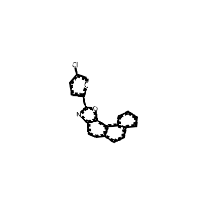 Clc1ccc(-c2nc3ccc4ccc5ccccc5c4c3o2)cc1